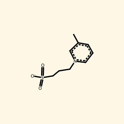 Cc1ccc[n+](CCCS(=O)(=O)[O-])c1